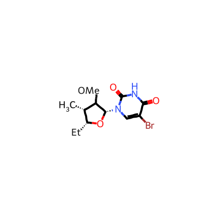 CC[C@H]1O[C@@H](n2cc(Br)c(=O)[nH]c2=O)C(OC)[C@H]1C